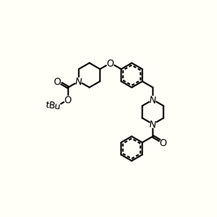 CC(C)(C)OC(=O)N1CCC(Oc2ccc(CN3CCN(C(=O)c4ccccc4)CC3)cc2)CC1